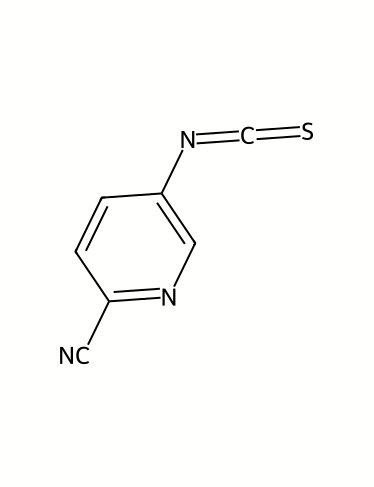 N#Cc1ccc(N=C=S)cn1